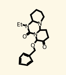 CCN1C(=O)N2C(OCc3ccccc3)C(=O)CCC2N2CCCCC12